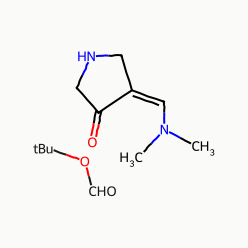 CC(C)(C)OC=O.CN(C)C=C1CNCC1=O